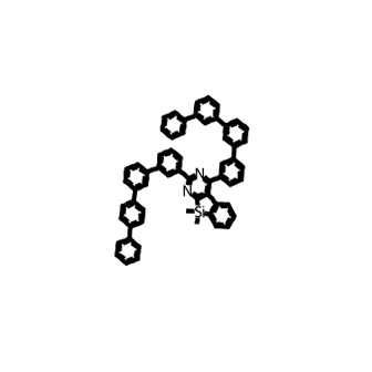 C[Si]1(C)c2ccccc2-c2c(-c3cccc(-c4cccc(-c5cccc(-c6ccccc6)c5)c4)c3)nc(-c3cccc(-c4cccc(-c5ccc(-c6ccccc6)cc5)c4)c3)nc21